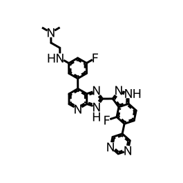 CN(C)CCNc1cc(F)cc(-c2ccnc3[nH]c(-c4n[nH]c5ccc(-c6cncnc6)c(F)c45)nc23)c1